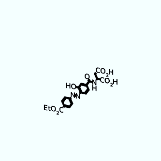 CCOC(=O)c1ccc(/N=N/c2ccc(C(=O)NC(CC(=O)O)C(=O)O)cc2O)cc1